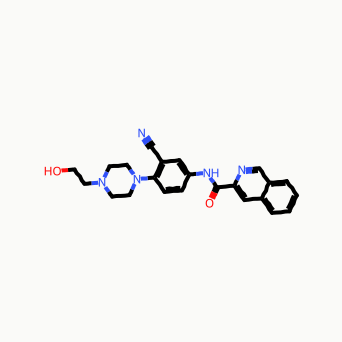 N#Cc1cc(NC(=O)c2cc3ccccc3cn2)ccc1N1CCN(CCO)CC1